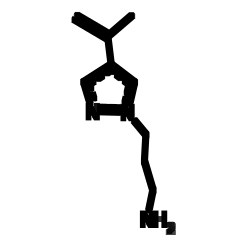 C=C(C)c1cnn(CCCN)c1